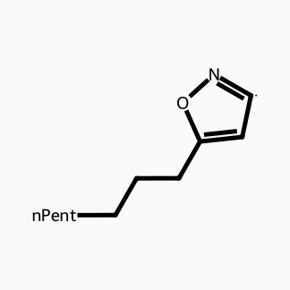 CCCCCCCCc1c[c]no1